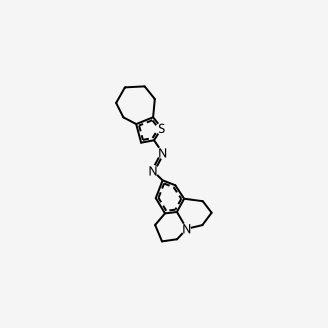 c1c(N=Nc2cc3c4c(c2)CCCN4CCC3)sc2c1CCCCC2